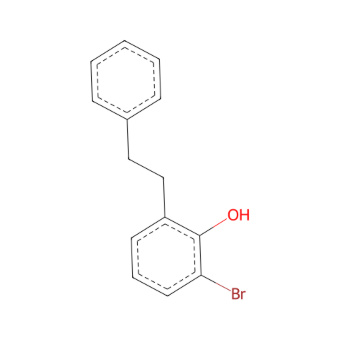 Oc1c(Br)cccc1CCc1ccccc1